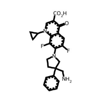 NCC1(c2ccccc2)CCN(c2c(F)cc3c(=O)c(C(=O)O)cn(C4CC4)c3c2F)C1